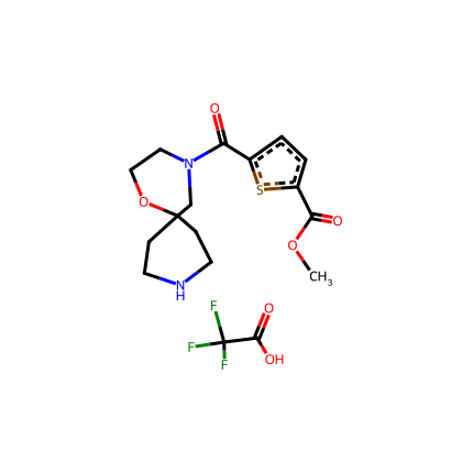 COC(=O)c1ccc(C(=O)N2CCOC3(CCNCC3)C2)s1.O=C(O)C(F)(F)F